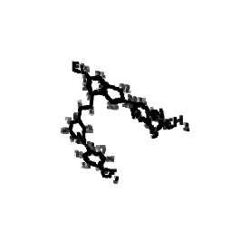 CCc1cc(CCC2CCCN(c3ccc(C(F)(F)F)cc3)C2)c2c(c1)CC(c1cn3nc(C)sc3n1)=C2